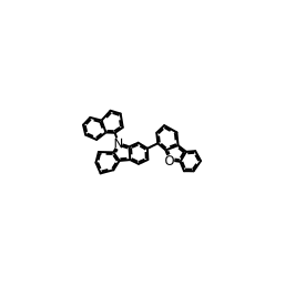 c1ccc2c(-n3c4ccccc4c4ccc(-c5cccc6c5oc5ccccc56)cc43)cccc2c1